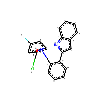 Fc1cc2cc(Cl)c1CN2c1ccccc1-c1cc2ccccc2[nH]1